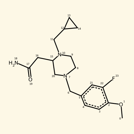 COc1ccc(CN2CCN(CC3CC3)C(CC(N)=O)C2)cc1F